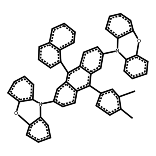 Cc1ccc(-c2c3cc(N4c5ccccc5Oc5ccccc54)ccc3c(-c3cccc4ccccc34)c3cc(N4c5ccccc5Oc5ccccc54)ccc23)cc1C